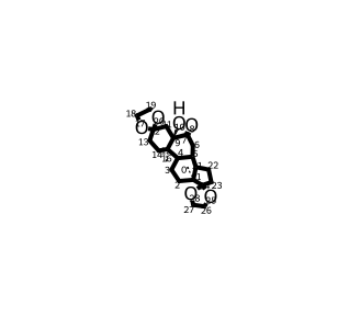 C[C@]12CCC3C(CC(=O)[C@@]4(O)CC5(CC[C@]34C)OCCO5)C1CCC21OCCO1